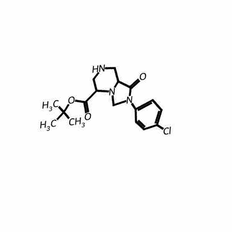 CC(C)(C)OC(=O)C1CNCC2C(=O)N(c3ccc(Cl)cc3)CN12